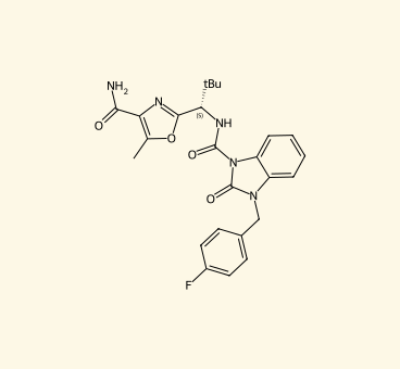 Cc1oc([C@@H](NC(=O)n2c(=O)n(Cc3ccc(F)cc3)c3ccccc32)C(C)(C)C)nc1C(N)=O